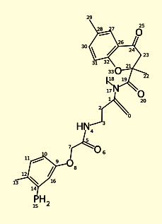 C=C(CCNC(=O)COc1ccc(C)c(P)c1)N(I)C(=O)C1(C)CC(=O)c2cc(C)ccc2O1